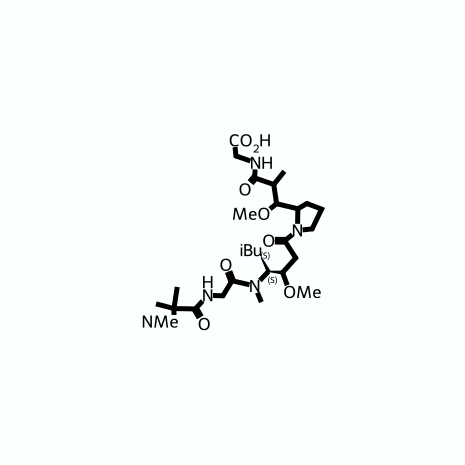 CC[C@H](C)[C@@H](C(CC(=O)N1CCCC1C(OC)C(C)C(=O)NCC(=O)O)OC)N(C)C(=O)CNC(=O)C(C)(C)NC